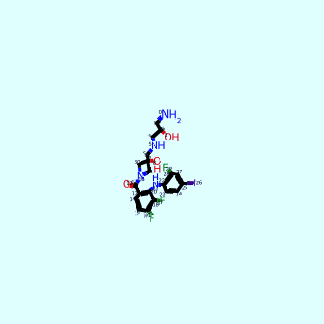 NCC(O)CNCC1(O)CN(C(=O)c2ccc(F)c(F)c2Nc2ccc(I)cc2F)C1